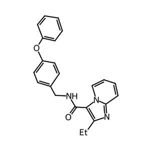 CCc1nc2ccccn2c1C(=O)NCc1ccc(Oc2ccccc2)cc1